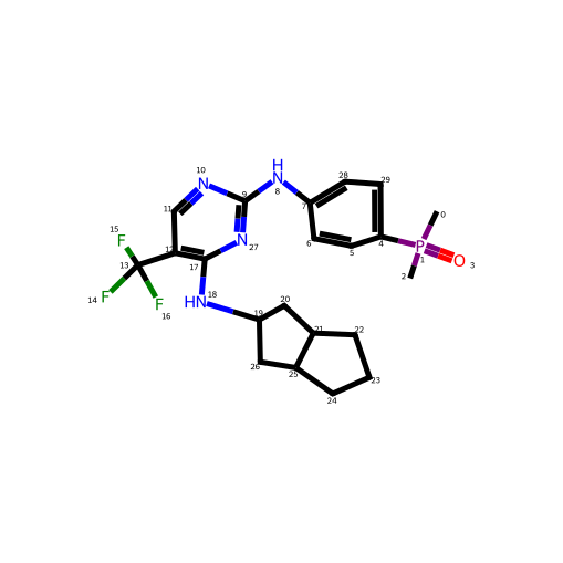 CP(C)(=O)c1ccc(Nc2ncc(C(F)(F)F)c(NC3CC4CCCC4C3)n2)cc1